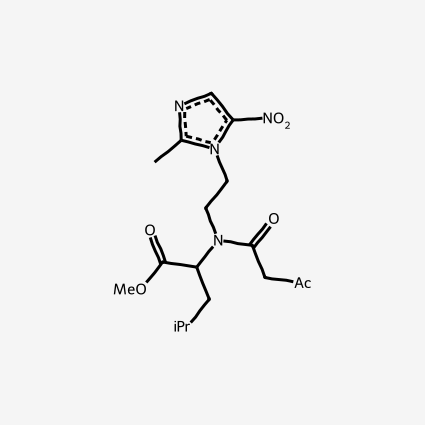 COC(=O)C(CC(C)C)N(CCn1c([N+](=O)[O-])cnc1C)C(=O)CC(C)=O